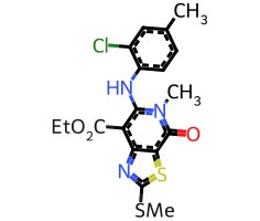 CCOC(=O)c1c(Nc2ccc(C)cc2Cl)n(C)c(=O)c2sc(SC)nc12